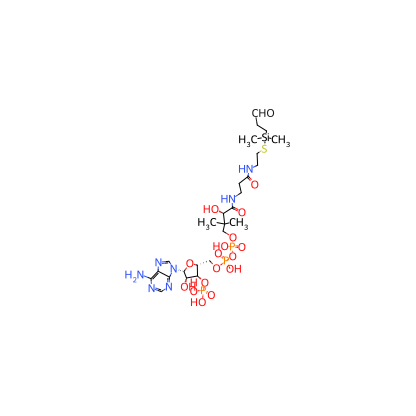 CC(C)(COP(=O)(O)OP(=O)(O)OC[C@H]1O[C@@H](n2cnc3c(N)ncnc32)[C@H](O)[C@@H]1OP(=O)(O)O)[C@@H](O)C(=O)NCCC(=O)NCCS[Si](C)(C)CCC=O